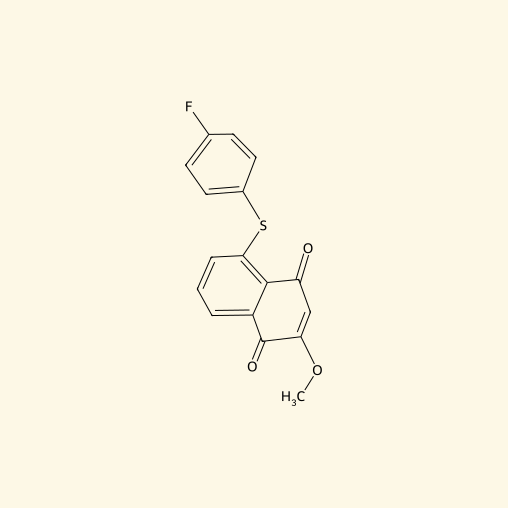 COC1=CC(=O)c2c(Sc3ccc(F)cc3)cccc2C1=O